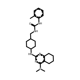 Cc1ccccc1NC(=O)NCC1CCC(Nc2nc3c(c(N(C)C)n2)CCCC3)CC1